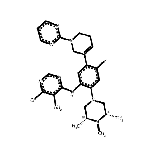 C[C@@H]1CN(c2cc(F)c(C3=CCCN(c4ncccn4)C3)cc2Nc2ncnc(Cl)c2N)C[C@H](C)N1C